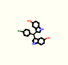 Oc1ccc2[nH]cc(C(c3ccc(Br)cc3)c3c[nH]c4ccc(O)cc34)c2c1